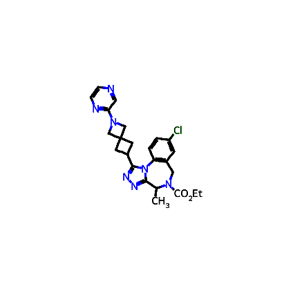 CCOC(=O)N1Cc2cc(Cl)ccc2-n2c(C3CC4(C3)CN(c3cnccn3)C4)nnc2C1C